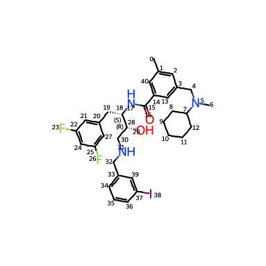 Cc1cc(CN(C)C2CCCCC2)cc(C(=O)N[C@@H](Cc2cc(F)cc(F)c2)[C@H](O)CNCc2cccc(I)c2)c1